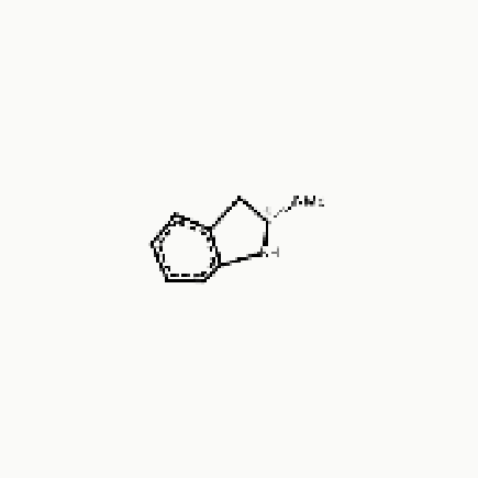 CN[C@H]1Cc2ccccc2N1